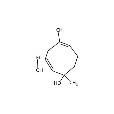 C/C1=C/CCC(C)(O)/C=C\C1.CCO